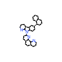 c1ccc2c(-c3ccc4c(c3)c3cccnc3n4-c3ccc4ccc5cccnc5c4n3)cccc2c1